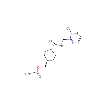 NC(=O)OC[C@H]1CC[C@H](C(=O)NCc2nccnc2Cl)CC1